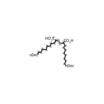 CCCCCCCCCCCCCCCCCCC(SSC(CCCCCCCCCCCCCCCCCC)C(=O)O)C(=O)O